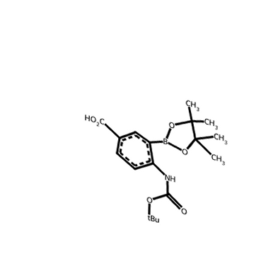 CC(C)(C)OC(=O)Nc1ccc(C(=O)O)cc1B1OC(C)(C)C(C)(C)O1